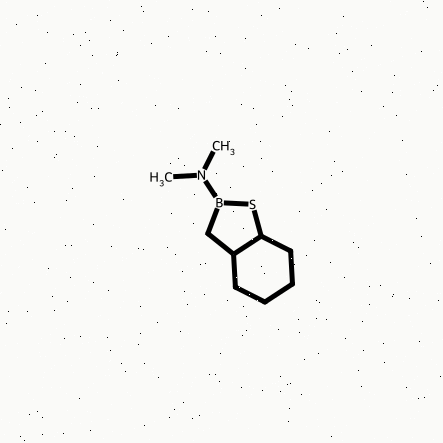 CN(C)B1CC2CCCCC2S1